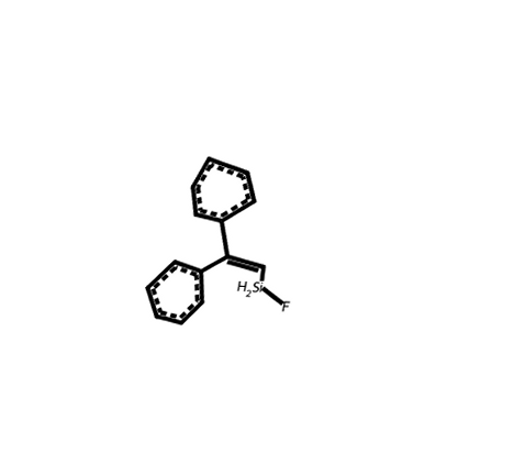 F[SiH2]C=C(c1ccccc1)c1ccccc1